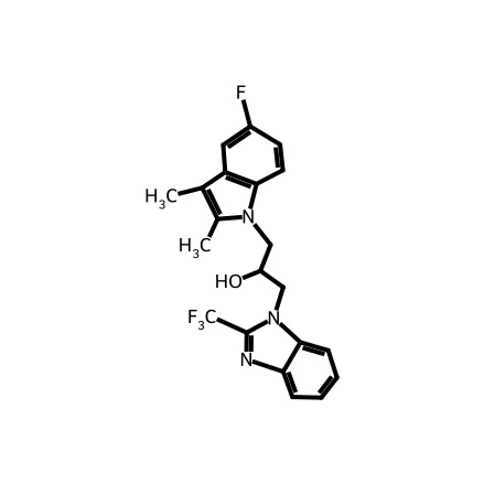 Cc1c(C)n(CC(O)Cn2c(C(F)(F)F)nc3ccccc32)c2ccc(F)cc12